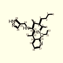 CCC/C=C(C(C)=N)/C(C)=C(\C=C(/C)c1cccnc1OCC)NCc1cn[nH]c1